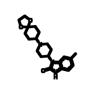 Cc1ccc2[nH]c(=O)n(C3CCN(C4CCC5(CC4)OCCO5)CC3)c2c1